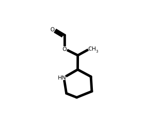 CC(OC=O)C1CCCCN1